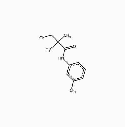 CC(C)(CCl)C(=O)Nc1cccc(C(F)(F)F)c1